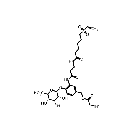 C=CS(=O)(=O)CCCCCC(=O)NCCC(=O)Nc1cc(COC(=O)CC(C)C)ccc1O[C@@H]1O[C@H](C(=O)O)[C@@H](O)[C@H](O)[C@H]1O